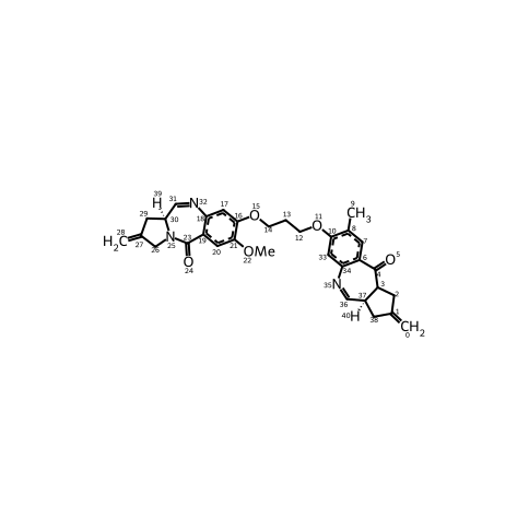 C=C1CC2C(=O)c3cc(C)c(OCCCOc4cc5c(cc4OC)C(=O)N4CC(=C)C[C@H]4C=N5)cc3N=C[C@@H]2C1